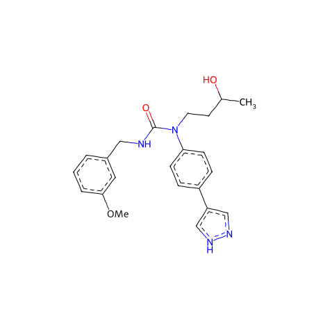 COc1cccc(CNC(=O)N(CCC(C)O)c2ccc(-c3cn[nH]c3)cc2)c1